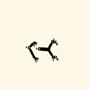 CC(C)OC(C)C.NC(N)=O